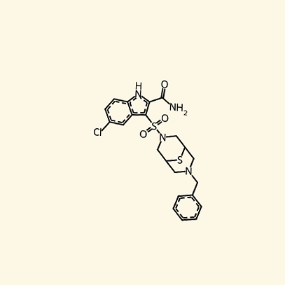 NC(=O)c1[nH]c2ccc(Cl)cc2c1S(=O)(=O)N1CC2CN(Cc3ccccc3)CC(C1)S2